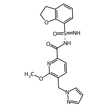 COc1nc(C(=O)N[S@](=N)(=O)c2cccc3c2OCC3)ccc1Cn1cccn1